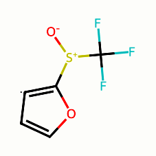 [O-][S+](c1[c]cco1)C(F)(F)F